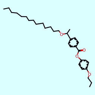 CCCCCCCCCCCCCCOC(C)c1ccc(C(=O)Oc2ccc(OCCC)cc2)cc1